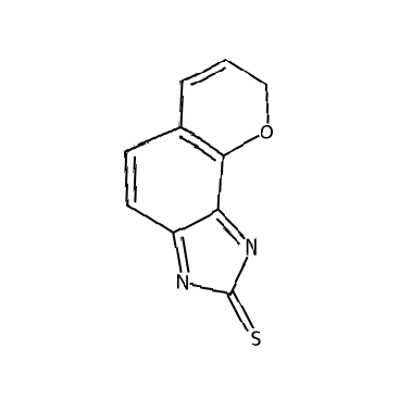 S=C1N=c2ccc3c(c2=N1)OCC=C3